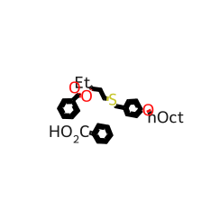 CCCCCCCCOc1ccc(CSCCC(CC)OC(=O)c2ccccc2)cc1.O=C(O)c1ccccc1